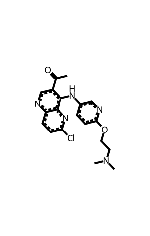 CC(=O)c1cnc2ccc(Cl)nc2c1Nc1ccc(OCCN(C)C)nc1